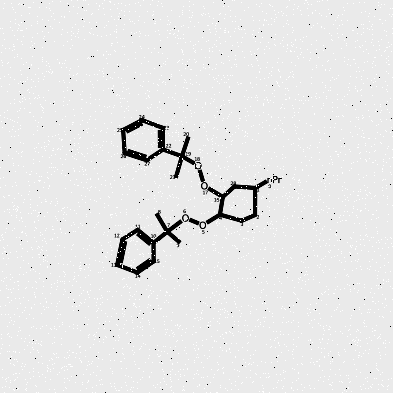 CCCC1CCC(OOC(C)(C)c2ccccc2)C(OOC(C)(C)c2ccccc2)C1